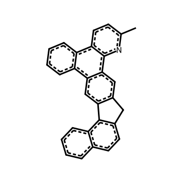 Cc1ccc2c3ccccc3c3cc4c(cc3c2n1)Cc1ccc2ccccc2c1-4